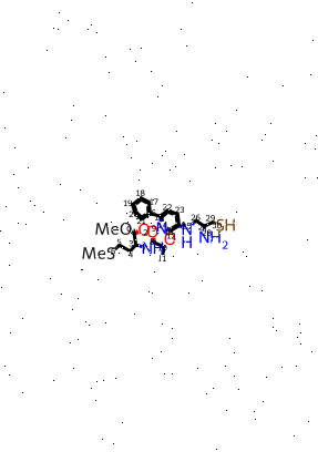 COC(=O)C(CCSC)NC(=O)C(C)Oc1nc(-c2ccccc2)ccc1NCC(N)CS